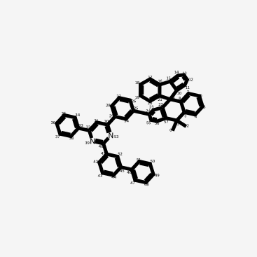 CC1(C)c2ccccc2C2(c3ccccc3-c3ccccc32)c2cc(-c3cccc(-c4cc(-c5ccccc5)nc(-c5cccc(-c6ccccc6)c5)n4)c3)ccc21